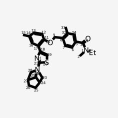 CCN(C)C(=O)c1ccc(COc2ccc(C)cc2-c2csc(N3CC4CCC(C3)C4C)n2)c(C)c1